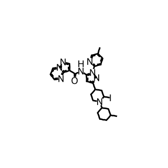 Cc1ccc(-n2nc(C3CCN(C4CCCC(C)C4)C(I)C3)cc2NC(=O)c2cnn3cccnc23)nc1